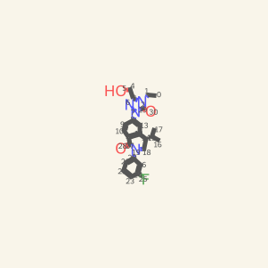 CCn1c(CO)nn(-c2ccc3c(c2)[C@@H](C(C)C)CN(c2cccc(F)c2)C3=O)c1=O